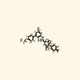 CCN(CC(=O)NCc1cc(F)cc(-c2ccc(C(F)(F)F)cc2)c1)[S+]([O-])c1ccc(F)cc1